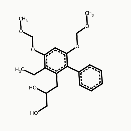 CCc1c(OCOC)cc(OCOC)c(-c2ccccc2)c1CC(O)CO